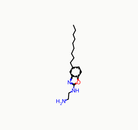 CCCCCCCCCc1ccc2oc(NCCN)nc2c1